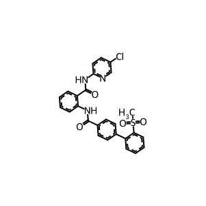 CS(=O)(=O)c1ccccc1-c1ccc(C(=O)Nc2ccccc2C(=O)Nc2ccc(Cl)cn2)cc1